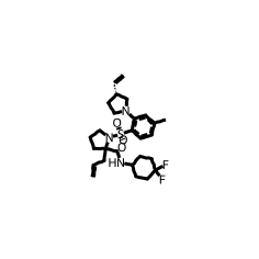 C=CCC1(C(=O)NC2CCC(F)(F)CC2)CCCN1S(=O)(=O)c1ccc(C)cc1N1CC[C@H](C=C)C1